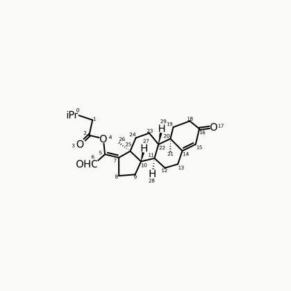 CC(C)CC(=O)OC(C=O)=C1CC[C@H]2[C@@H]3CCC4=CC(=O)CC[C@]4(C)[C@H]3CC[C@]12C